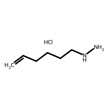 C=CCCCCNN.Cl